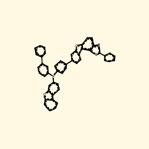 c1ccc(-c2cccc(N(c3ccc(-c4ccc5c(c4)oc4ccc6nc(-c7ccccc7)sc6c45)cc3)c3ccc4c(c3)oc3ccccc34)c2)cc1